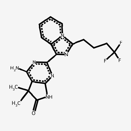 CC1(C)C(=O)Nc2nc(-c3nc(CCCC(F)(F)F)n4ccccc34)nc(N)c21